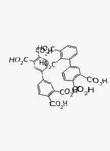 O=C(O)c1ccc(-c2ccc(C(=O)O)c(C(=O)O)c2)cc1C(=O)O.O=C(O)c1ccc(-c2cccc(C(=O)O)c2C(=O)O)cc1C(=O)O